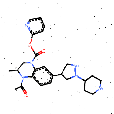 CC(=O)N1c2ccc(C3CNN(C4CCNCC4)C3)cc2N(C(=O)Oc2ccccn2)C[C@@H]1C